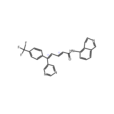 O=C(/C=C/C=C(/c1ccc(C(F)(F)F)cc1)c1cncnc1)Nc1cccc2cnccc12